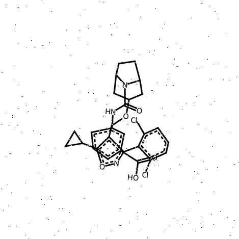 O=C(O)c1cccc(NC(=O)N2C3CCC2CC(OCc2c(-c4c(Cl)cccc4Cl)noc2C2CC2)C3)c1